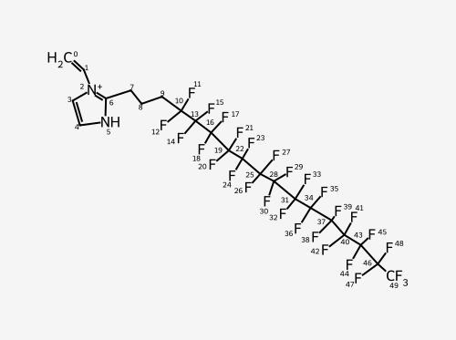 C=C[n+]1cc[nH]c1CCCC(F)(F)C(F)(F)C(F)(F)C(F)(F)C(F)(F)C(F)(F)C(F)(F)C(F)(F)C(F)(F)C(F)(F)C(F)(F)C(F)(F)C(F)(F)C(F)(F)F